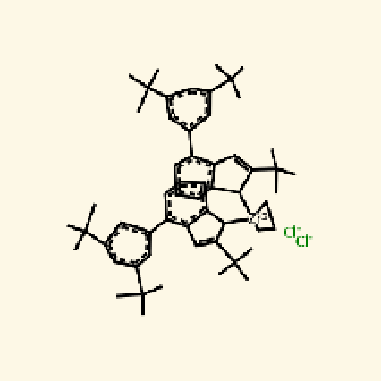 CC(C)(C)C1=Cc2c(-c3cc(C(C)(C)C)cc(C(C)(C)C)c3)cccc2[CH]1[Zr+2]1([CH]2C(C(C)(C)C)=Cc3c(-c4cc(C(C)(C)C)cc(C(C)(C)C)c4)cccc32)[CH2]C[CH2]1.[Cl-].[Cl-]